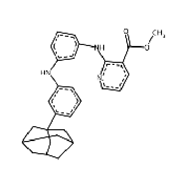 COC(=O)c1cccnc1Nc1cccc(Nc2cccc(C34CC5CC(CC(C5)C3)C4)c2)c1